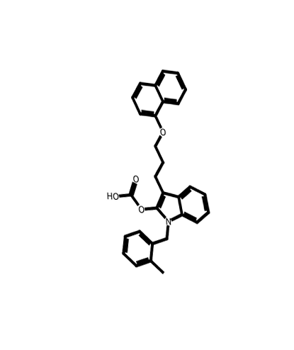 Cc1ccccc1Cn1c(OC(=O)O)c(CCCOc2cccc3ccccc23)c2ccccc21